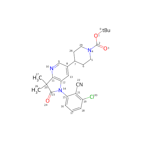 CC(C)(C)OC(=O)N1CCC(c2cnc3c(c2)N(c2cccc(Cl)c2C#N)C(=O)C3(C)C)CC1